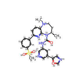 C[C@@H]1CCN(C)c2ccc(-c3cccc(S(C)(=O)=O)c3)nc2N1C(=O)Nc1cncc(-c2cnco2)c1